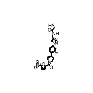 O=C(CS)NCc1cn(-c2ccc(C3=CCN(C(=O)c4ccc([N+](=O)[O-])o4)CC3)c(F)c2)nn1